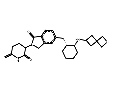 C=C1CCC(N2Cc3cc(C[C@H]4CCCC[C@@H]4NC4CC5(COC5)C4)ccc3C2=O)C(=O)N1